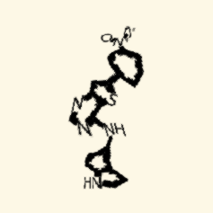 O=[N+]([O-])c1cccc(-c2cc3ncnc(Nc4ccc5[nH]ccc5c4)c3s2)c1